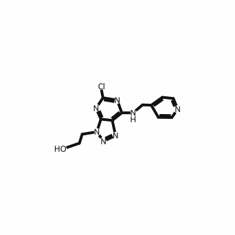 OCCn1nnc2c(NCc3ccncc3)nc(Cl)nc21